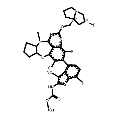 CN1c2nc(OC[C@@]34CCCN3C[C@H](F)C4)nc3c(F)c(-c4ccc(F)c5sc(NC(=O)OC(C)(C)C)c(C#N)c45)c(Cl)c(c23)OC2CCCC21